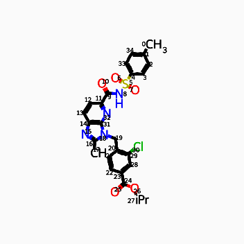 Cc1ccc(S(=O)(=O)NC(=O)c2ccc3nc(C)n(Cc4ccc(C(=O)OC(C)C)cc4Cl)c3n2)cc1